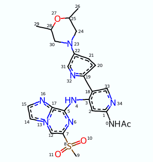 CC(=O)Nc1cc(Nc2nc(S(C)(=O)=O)cn3ccnc23)c(-c2ccc(N3CC(C)OC(C)C3)cn2)cn1